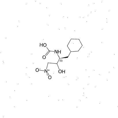 O=C(O)N[C@@H](CC1CCCCC1)C(O)C[N+](=O)[O-]